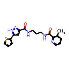 Cc1cccnc1C(=O)NCCCNC(=O)c1cc(-c2cccs2)[nH]n1